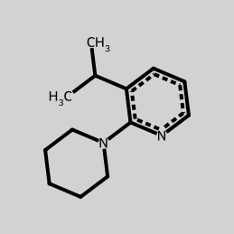 CC(C)c1cccnc1N1CCCCC1